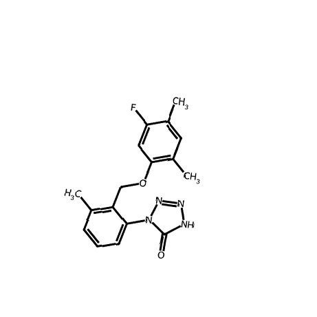 Cc1cc(C)c(OCc2c(C)cccc2-n2nn[nH]c2=O)cc1F